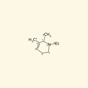 CCN1CCC=C(C)C1C